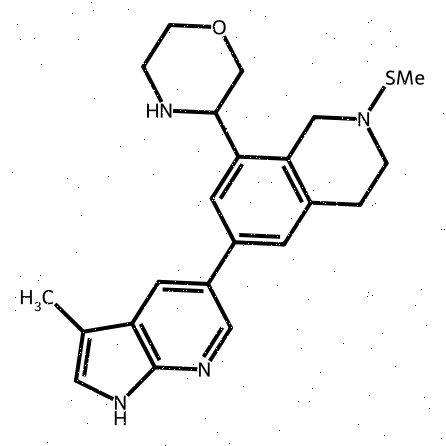 CSN1CCc2cc(-c3cnc4[nH]cc(C)c4c3)cc(C3COCCN3)c2C1